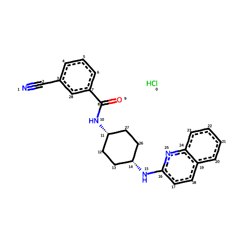 Cl.N#Cc1cccc(C(=O)N[C@H]2CC[C@@H](Nc3ccc4ccccc4n3)CC2)c1